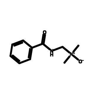 C[N+](C)([O-])CNC(=O)c1ccccc1